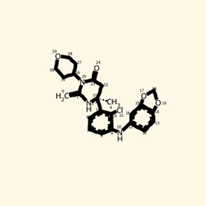 C=C1N[C@](C)(c2cccc(Nc3ccc4c(c3)OCO4)c2Cl)CC(=O)N1C1CCOCC1